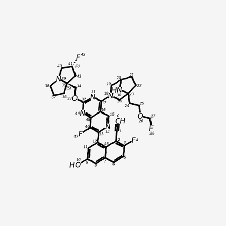 C#Cc1c(F)ccc2cc(O)cc(-c3ncc4c(N5CC6CCC(CCOCF)(C5)N6)nc(OC[C@@]56CCCN5C[C@H](F)C6)nc4c3F)c12